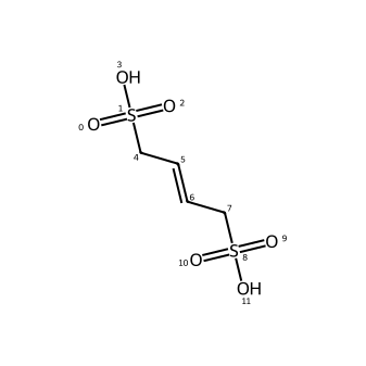 O=S(=O)(O)C/C=C/CS(=O)(=O)O